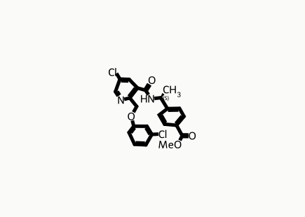 COC(=O)c1ccc([C@H](C)NC(=O)c2cc(Cl)cnc2COc2cccc(Cl)c2)cc1